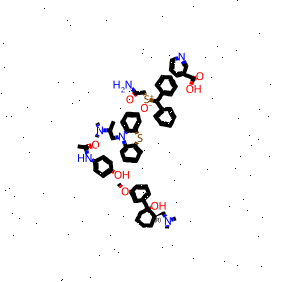 CC(=O)Nc1ccc(O)cc1.CC(CN1c2ccccc2Sc2ccccc21)N(C)C.COc1cccc([C@@]2(O)CCCC[C@@H]2CN(C)C)c1.NC(=O)C[S+]([O-])C(c1ccccc1)c1ccccc1.O=C(O)c1cccnc1